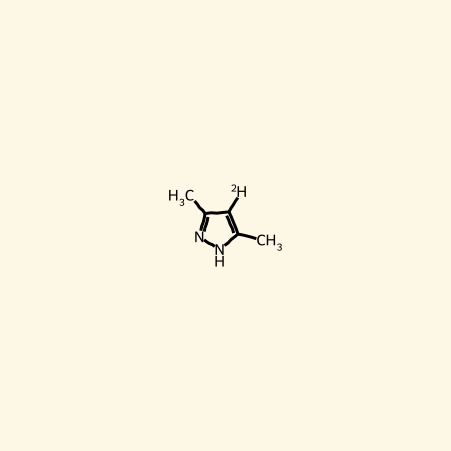 [2H]c1c(C)n[nH]c1C